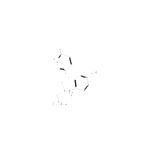 Cc1ccc(OCC2CNCCN2c2ccc(Br)cc2)cn1